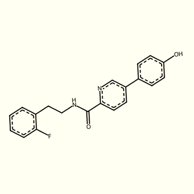 O=C(NCCc1ccccc1F)c1ccc(-c2ccc(O)cc2)cn1